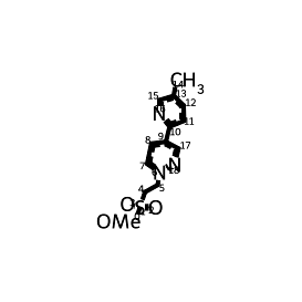 COS(=O)(=O)CC[n+]1ccc(-c2ccc(C)cn2)cn1